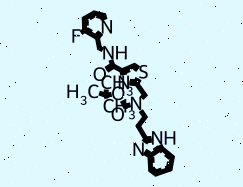 CC(C)(C)OC(=O)N(CCc1nc2ccccc2[nH]1)Cc1nc(C(=O)NCc2ncccc2F)cs1